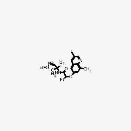 CCO/N=C\C(C)(C)NC(=O)C(CC)Oc1cc(C)c2ncc(I)cc2c1